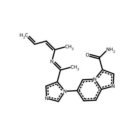 C=C/C=C(C)\N=C(/C)c1cncn1-c1ccc2ncc(C(N)=O)n2c1